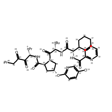 CCC[C@H](NC(=O)[C@@H]1C[C@@H](Oc2ccc(Cl)cn2)CN1C(=O)[C@@H](NC(=O)[C@@H](NC(=O)c1cnccn1)C1CCCCC1)C(C)(C)C)C(=O)C(=O)CC(C)C